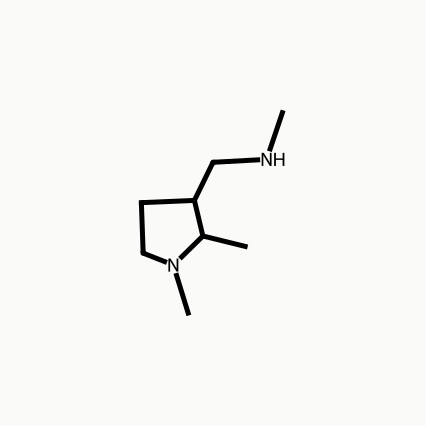 CNCC1CCN(C)C1C